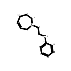 C1=CCN(CCOc2ccccc2)CCC1